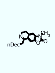 CCCCCCCCCCCC1=NCCc2cc3c(cc21)oc(=O)n3C